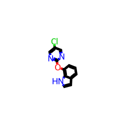 Clc1cnc(Oc2cccc3cc[nH]c23)nc1